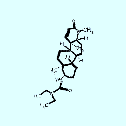 CCN(CC)C(=O)N[C@H]1CC[C@H]2[C@@H]3CC[C@H]4N(C)C(=O)C=C[C@]4(C)[C@H]3CC[C@]12C